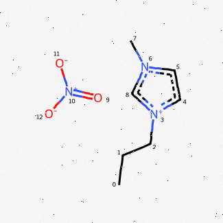 CCC[n+]1ccn(C)c1.O=[N+]([O-])[O-]